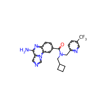 Nc1nc2ccc(C(=O)N(Cc3ccc(C(F)(F)F)cn3)CC3CCC3)cc2n2cncc12